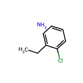 CCc1ccccc1Cl.N